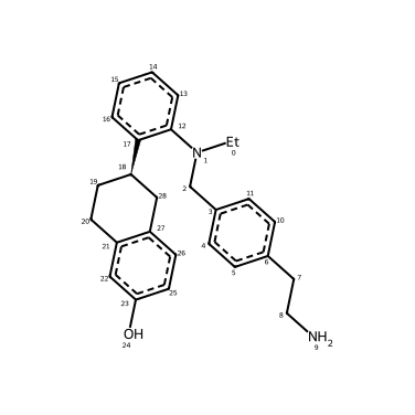 CCN(Cc1ccc(CCN)cc1)c1ccccc1[C@@H]1CCc2cc(O)ccc2C1